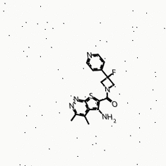 Cc1nnc2sc(C(=O)N3CC(F)(c4ccncc4)C3)c(N)c2c1C